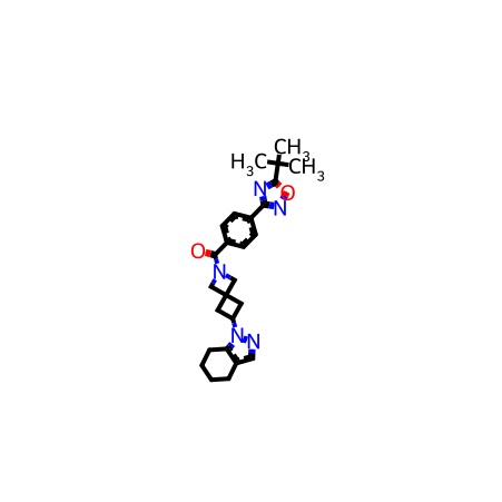 CC(C)(C)c1nc(-c2ccc(C(=O)N3CC4(CC(n5ncc6c5CCCC6)C4)C3)cc2)no1